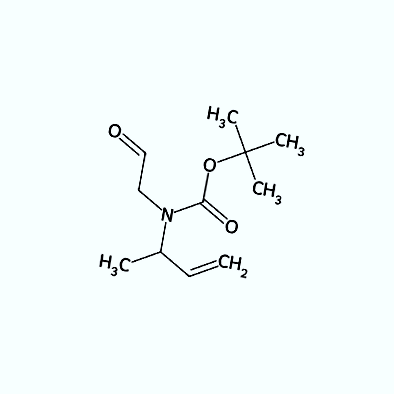 C=CC(C)N(CC=O)C(=O)OC(C)(C)C